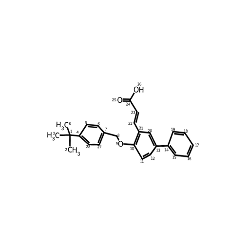 CC(C)(C)c1ccc(COc2ccc(-c3ccccc3)cc2C=CC(=O)O)cc1